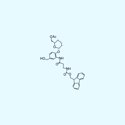 CC(=O)OC[C@H]1[CH][CH][CH][C@H](Oc2ccc(CO)cc2NC(=O)CCNC(=O)OCC2c3ccccc3-c3ccccc32)O1